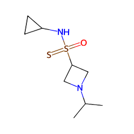 CC(C)N1CC(S(=O)(=S)NC2CC2)C1